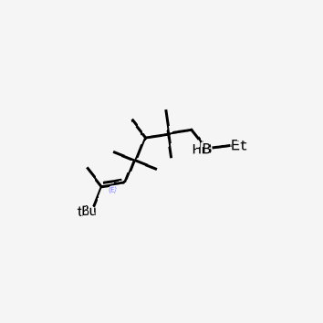 CCBCC(C)(C)C(C)C(C)(C)/C=C(\C)C(C)(C)C